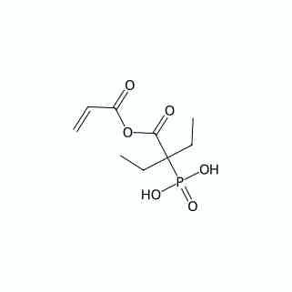 C=CC(=O)OC(=O)C(CC)(CC)P(=O)(O)O